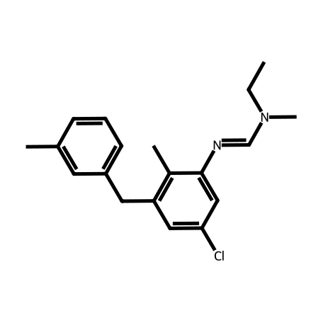 CCN(C)C=Nc1cc(Cl)cc(Cc2cccc(C)c2)c1C